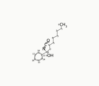 CCCCCCCCC(O)(N=C=O)c1ccccc1